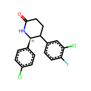 O=C1CCC(c2ccc(F)c(Cl)c2)[C@@H](c2ccc(Cl)cc2)N1